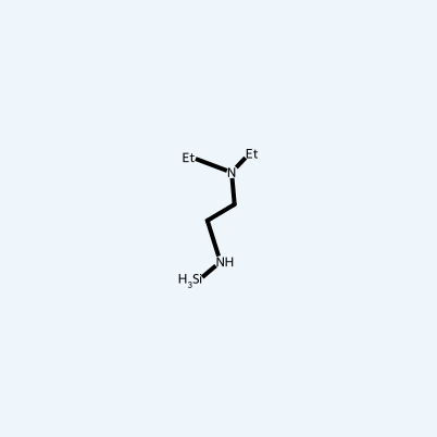 CCN(CC)CCN[SiH3]